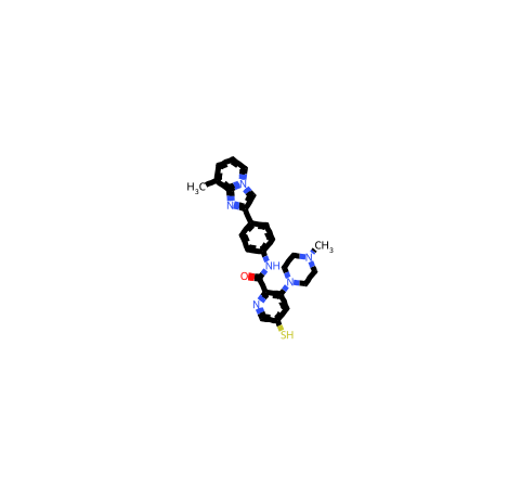 Cc1cccn2cc(-c3ccc(NC(=O)c4ncc(S)cc4N4CCN(C)CC4)cc3)nc12